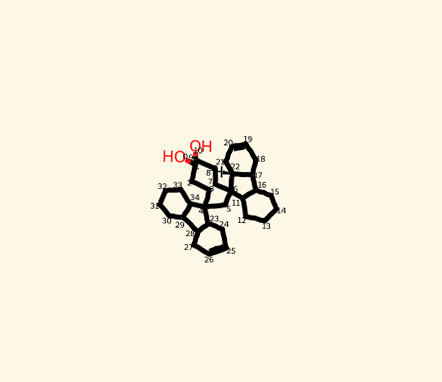 OCCCC1(CC2(CCCO)C3CCCCC3C3CC=CC[C@H]32)C2CC=CCC2C2CCCCC21